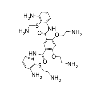 NCCOc1cc(OCCN)c(C(=O)Nc2cccc(N)c2SCCN)cc1C(=O)Nc1cccc(N)c1SCN